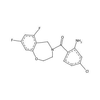 Nc1cc(Cl)ccc1C(=O)N1CCOc2cc(F)cc(F)c2C1